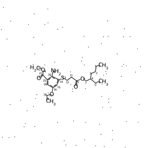 CCCCC(CC)COC(=O)CCSc1cc(OCC)cc(C(=O)OC)c1N